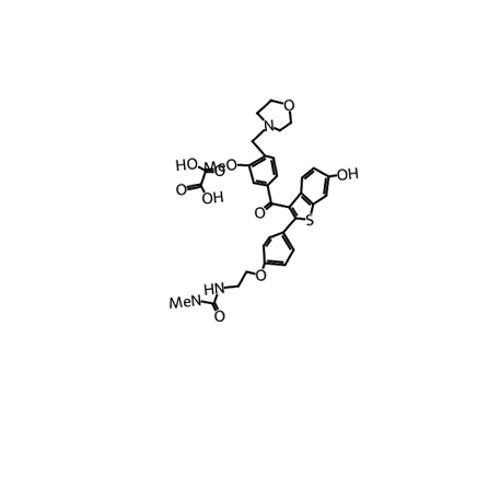 CNC(=O)NCCOc1ccc(-c2sc3cc(O)ccc3c2C(=O)c2ccc(CN3CCOCC3)c(OC)c2)cc1.O=C(O)C(=O)O